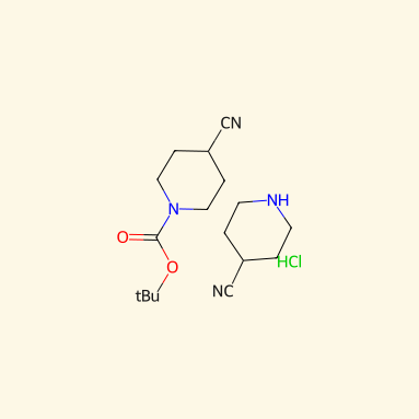 CC(C)(C)OC(=O)N1CCC(C#N)CC1.Cl.N#CC1CCNCC1